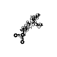 CCn1c(-c2cc(OCc3ccccc3)c(OCc3ccccc3)cn2)nn(S(=O)(=O)NC(=O)N2C[C@H](NC(=O)/C(=N\OC(C)(C)C(=O)OC(C)(C)C)c3csc(NC(=O)OC(C)(C)C)n3)C2=O)c1=O